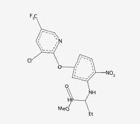 CCC(Nc1cc(Oc2ncc(C(F)(F)F)cc2Cl)ccc1[N+](=O)[O-])[PH](=O)OC